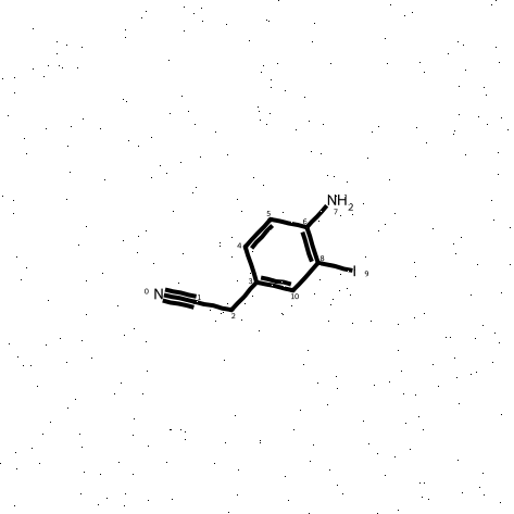 N#CCc1ccc(N)c(I)c1